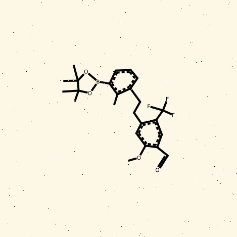 COc1cc(CCc2cccc(B3OC(C)(C)C(C)(C)O3)c2C)c(C(F)(F)F)cc1C=O